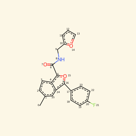 Cc1ccc2c(C(=O)NCc3ccco3)oc(-c3ccc(F)cc3)c2c1